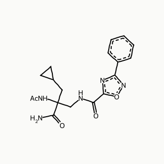 CC(=O)NC(CNC(=O)c1nc(-c2ccccc2)no1)(CC1CC1)C(N)=O